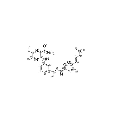 CCc1nc(C(N)=O)c(Nc2cccc([C@@H](C)CNC(=O)CN(C)C(=O)/C=C/CN(C)C)c2)nc1C